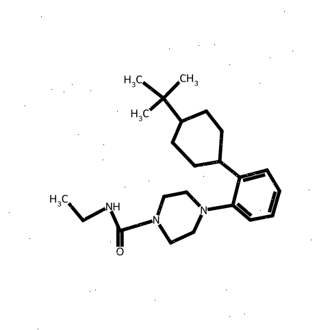 CCNC(=O)N1CCN(c2ccccc2C2CCC(C(C)(C)C)CC2)CC1